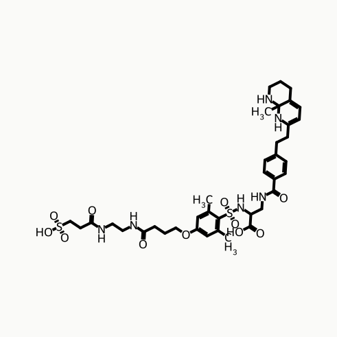 Cc1cc(OCCCC(=O)NCCNC(=O)CCS(=O)(=O)O)cc(C)c1S(=O)(=O)NC(CNC(=O)c1ccc(CCC2=CC=C3CCCNC3(C)N2)cc1)C(=O)O